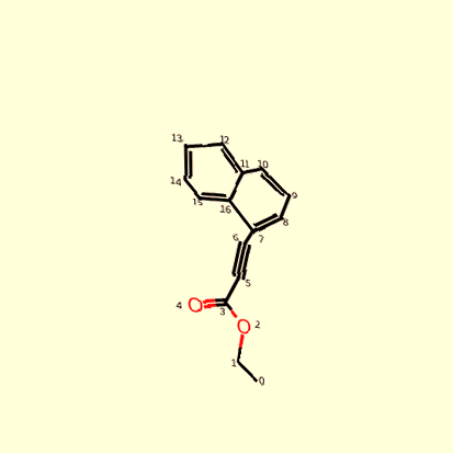 CCOC(=O)C#Cc1cccc2ccccc12